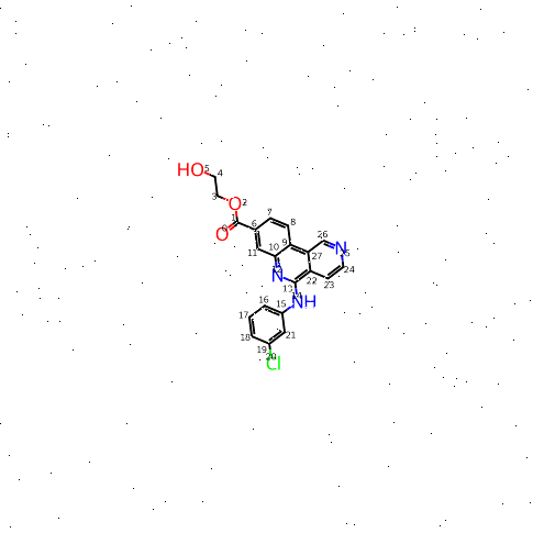 O=C(OCCO)c1ccc2c(c1)nc(Nc1cccc(Cl)c1)c1ccncc12